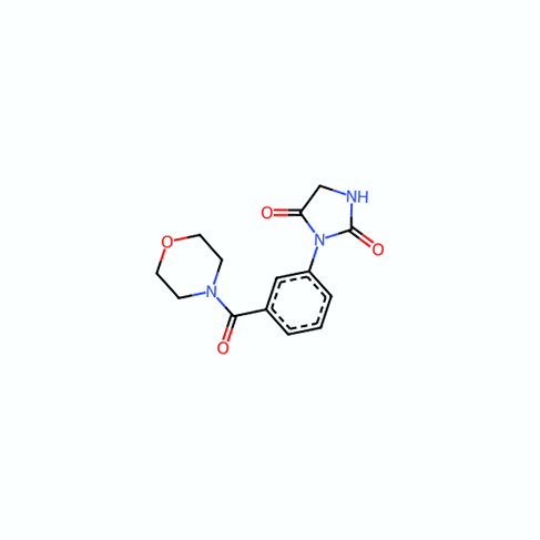 O=C(c1cccc(N2C(=O)CNC2=O)c1)N1CCOCC1